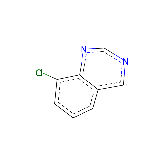 Clc1cccc2[c]ncnc12